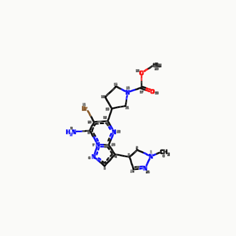 CN1CC(c2cnn3c(N)c(Br)c(C4CCN(C(=O)OC(C)(C)C)C4)nc23)C=N1